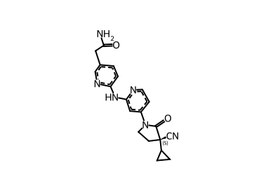 N#C[C@@]1(C2CC2)CCN(c2ccnc(Nc3ccc(CC(N)=O)cn3)c2)C1=O